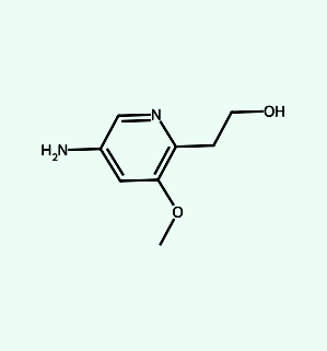 COc1cc(N)cnc1CCO